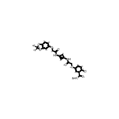 COC(=O)c1cc(OCC(=O)NC23CC(NC(=O)COc4ccc5c(c4)OC(F)(F)O5)(C2)C3)ccc1Cl